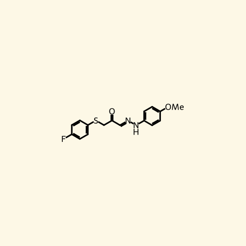 COc1ccc(NN=CC(=O)CSc2ccc(F)cc2)cc1